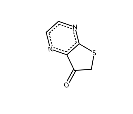 O=C1CSc2nccnc21